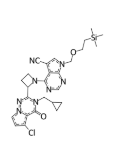 C[Si](C)(C)CCOCn1cc(C#N)c2c(N3CCC3c3nn4ccc(Cl)c4c(=O)n3CC3CC3)ncnc21